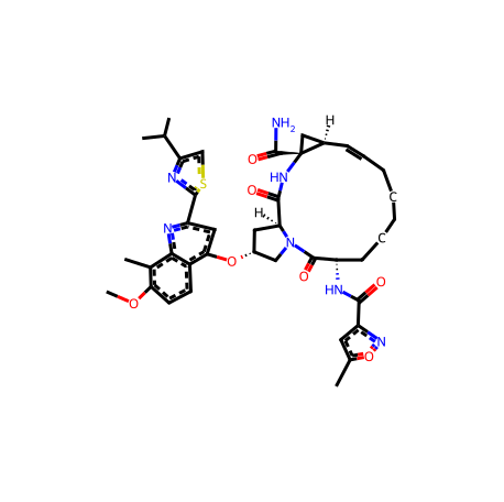 COc1ccc2c(O[C@@H]3C[C@H]4C(=O)N[C@]5(C(N)=O)C[C@H]5/C=C\CCCCC[C@H](NC(=O)c5cc(C)on5)C(=O)N4C3)cc(-c3nc(C(C)C)cs3)nc2c1C